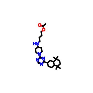 CC(=O)OCCCCNC1CCN(c2ncnc(C3CCC4C(C3)C(C)(C)CCC4(C)C)n2)CC1